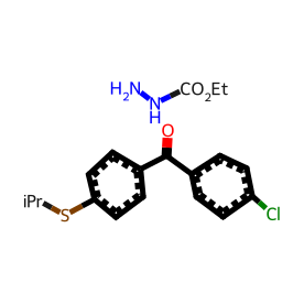 CC(C)Sc1ccc(C(=O)c2ccc(Cl)cc2)cc1.CCOC(=O)NN